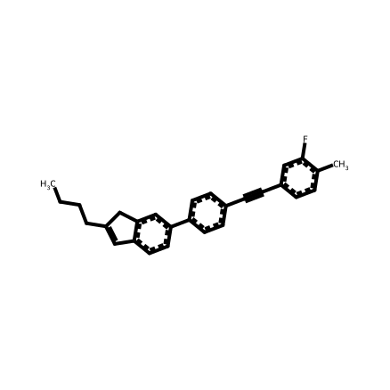 CCCCC1=Cc2ccc(-c3ccc(C#Cc4ccc(C)c(F)c4)cc3)cc2C1